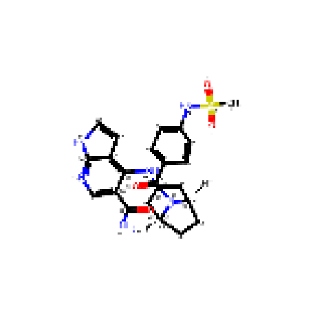 CS(=O)(=O)Nc1ccc(C(=O)N2[C@@H]3CC[C@H]2C[C@H](Nc2c(C(N)=O)cnc4[nH]ccc24)C3)cc1